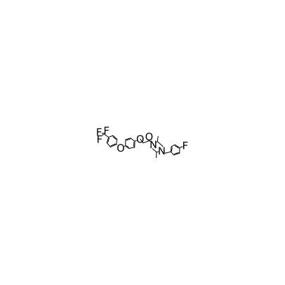 CC1CN(C(=O)COc2ccc(Oc3ccc(C(F)(F)F)cc3)cc2)C(C)CN1Cc1ccc(F)cc1